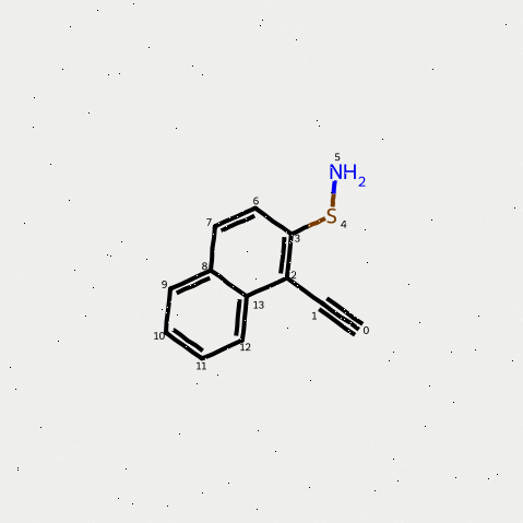 C#Cc1c(SN)ccc2ccccc12